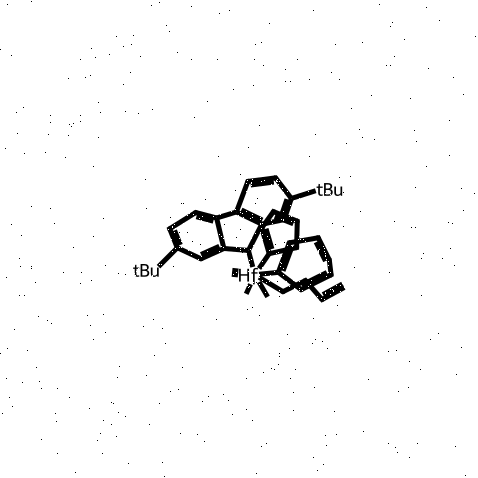 C=CC[CH2][Hf](=[CH2])([CH3])([CH3])([C]1=CC=CC1)([c]1ccccc1)[CH]1c2cc(C(C)(C)C)ccc2-c2ccc(C(C)(C)C)cc21